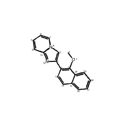 COc1c(-c2cn3ccccc3n2)ccc2ccccc12